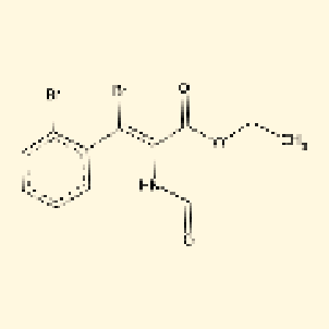 CCOC(=O)C(NC=O)=C(Br)c1ccccc1Br